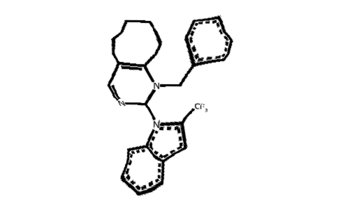 FC(F)(F)c1cc2ccccc2n1C1N=CC2=C(CCCC2)N1Cc1ccccc1